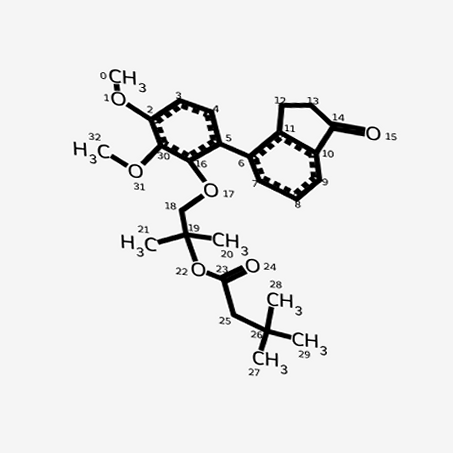 COc1ccc(-c2cccc3c2CCC3=O)c(OCC(C)(C)OC(=O)CC(C)(C)C)c1OC